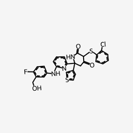 O=C1CC(c2ccsc2)(c2cccc(Nc3ccc(F)c(CO)c3)n2)NC(=O)C1Sc1ccccc1Cl